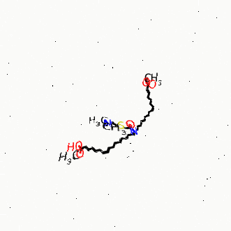 COC(=O)CCCCC/C=C\CCCCCCCCN(CCCCCCCC/C=C\CCCCCC(O)OC)C(=O)CSCCN(C)C